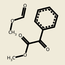 COC(=O)C(=O)c1ccccc1.COC=O